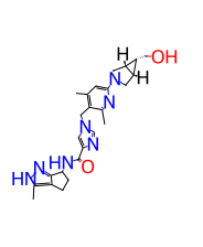 Cc1cc(N2C[C@@H]3[C@H](CO)[C@@H]3C2)nc(C)c1Cn1cnc(C(=O)N[C@@H]2CCc3c2n[nH]c3C)c1